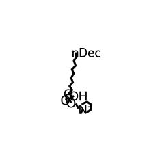 CCCCCCCCCCCCCCCCCCCOP(=O)(O)OCC[N+]1(C)CCCCC1